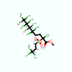 COC(=O)C(Cl)(CCC(F)(F)C(F)(F)C(F)(F)C(F)(F)F)S(=O)(=O)CCC(F)(F)F